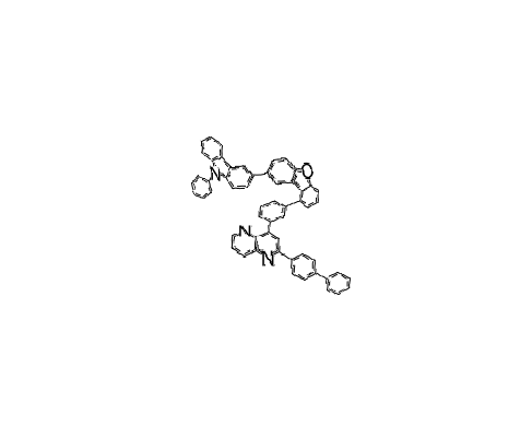 c1ccc(-c2ccc(-c3cc(-c4cccc(-c5cccc6oc7ccc(-c8ccc9c(c8)c8ccccc8n9-c8ccccc8)cc7c56)c4)c4ncccc4n3)cc2)cc1